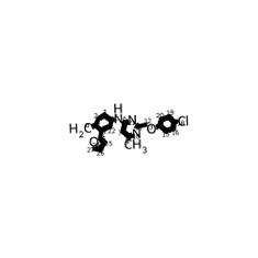 C=C1C=C=C(Nc2cc(C)nc(COc3ccc(Cl)cc3)n2)C=C1c1ccco1